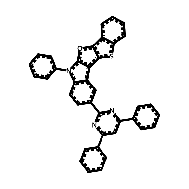 c1ccc(-c2cc(-c3ccccc3)nc(-c3ccc4c(c3)c3c5sc6ccccc6c5oc3n4-c3ccccc3)n2)cc1